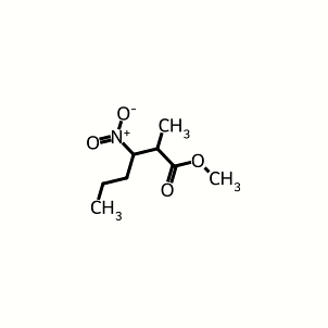 CCCC(C(C)C(=O)OC)[N+](=O)[O-]